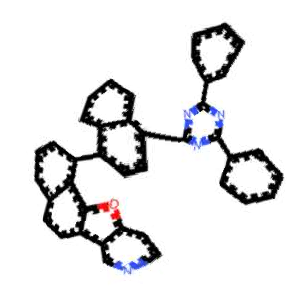 c1ccc(-c2nc(-c3ccccc3)nc(-c3ccc(-c4cccc5ccc6c7cnccc7oc6c45)c4ccccc34)n2)cc1